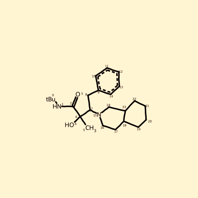 CC(C)(C)NC(=O)C(C)(O)[C](Cc1ccccc1)N1CCC2CCCCC2C1